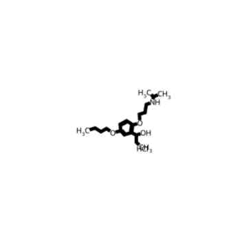 CCCCOc1ccc(OCCCNC(C)C)c(C(O)CC)c1.Cl